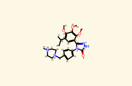 COc1c(-c2n[nH]c(=O)n2-c2ccc(CN3CCN(C)CC3)cc2)cc(C(C)C)c(OC)c1OC